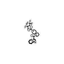 O=C(OC(C(F)(F)F)C(F)(F)F)N1CCC2(CCCN2C(=O)c2cnc3ccccn23)CC1